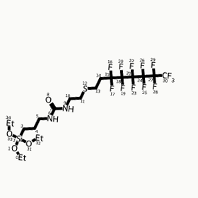 CCO[Si](CCCNC(=O)NCCSCCC(F)(F)C(F)(F)C(F)(F)C(F)(F)C(F)(F)C(F)(F)F)(OCC)OCC